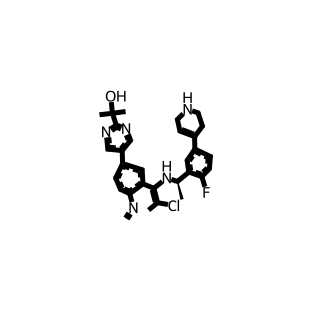 C=Nc1ccc(-c2cnc(C(C)(C)O)nc2)cc1/C(N[C@H](C)c1cc(C2=CCNCC2)ccc1F)=C(\C)Cl